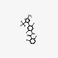 Cn1cc(-c2cc(F)c(NC(=O)c3c(F)cccc3F)cc2F)c(C(F)(F)F)n1